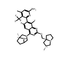 Cc1cc(N)nc(-c2c(F)cc3c(N4CC5CC[C@@](C)(C4)N5)nc(OC[C@@]45CCCN4C[C@H](F)C5)nc3c2F)c1C(F)(F)F